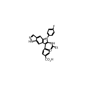 CCC(=O)Nc1c(-c2ccc(C(=O)O)cc2)c2cc3[nH]ncc3cc2n1-c1ccc(F)cc1